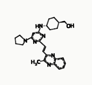 Cc1nc2ccccc2nc1/C=C/c1nc(N[C@H]2CC[C@H](CO)CC2)cc(N2CCCC2)n1